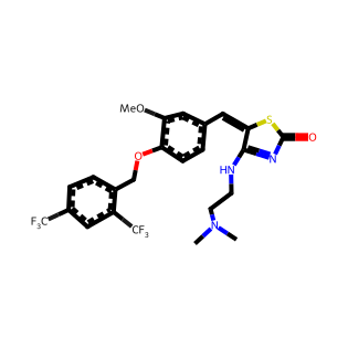 COc1cc(C=C2SC(=O)N=C2NCCN(C)C)ccc1OCc1ccc(C(F)(F)F)cc1C(F)(F)F